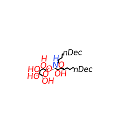 CCCCCCCCCCCCC/C=C/[C@@H](O)[C@H](CO[C@H]1O[C@H](CO)[C@H](O)[C@H](O)[C@H]1O)NC(=O)CCCCCCCCCCCCC